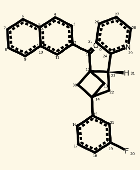 O=C(c1ccc2ccccc2c1)C12CC(c3cccc(F)c3)(C[C@H]1c1ccccn1)C2